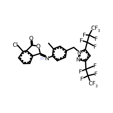 Cc1cc(Cn2nc(C(F)(F)C(F)(F)C(F)(F)F)cc2C(F)(F)C(F)(F)C(F)(F)F)ccc1/N=C1\OC(=O)c2c(Cl)cccc21